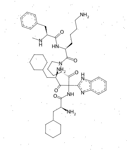 CN[C@@H](Cc1ccccc1)C(=O)N[C@@H](CCCCN)C(=O)N1CCC[C@H]1C(=O)C(NC(=O)[C@@H](N)CC1CCCCC1)(C(=O)[C@H](N)CC1CCCCC1)c1nc2ccccc2[nH]1